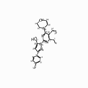 CCc1nc(-n2nc(-c3ccc(F)cc3)cc2O)nc(N2CCOCC2)c1CC